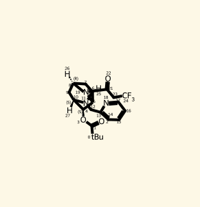 CC(C)(C)C(=O)O[C@@H]1C2[C@H]3C[C@H](C[C@@H]1N3Cc1ccccn1)CN2C(=O)CC(F)(F)F